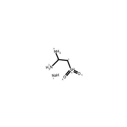 NC(N)C[SH](=O)=O.[NaH]